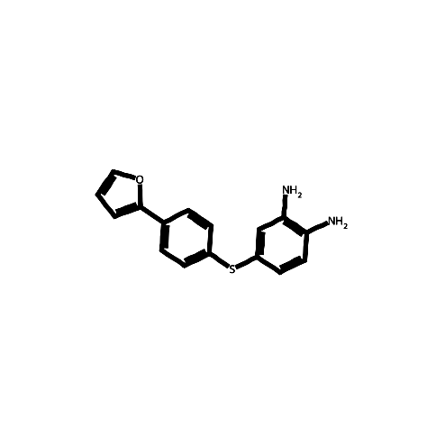 Nc1ccc(Sc2ccc(-c3ccco3)cc2)cc1N